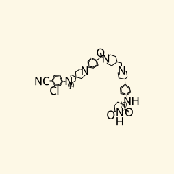 C[C@@H]1CC2(CCN(c3ccc(C(=O)N4CCC(CN5CCC(c6ccc(N[C@H]7CCC(=O)NC7=O)cc6)CC5)CC4)cc3)CC2)CN1c1ccc(C#N)c(Cl)c1